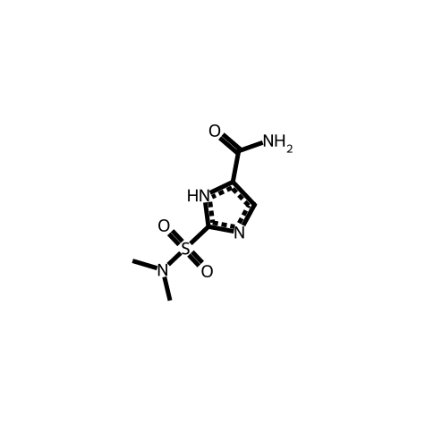 CN(C)S(=O)(=O)c1ncc(C(N)=O)[nH]1